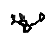 COC(=O)c1cc2cccc(OCc3cccnc3)c2cc1O